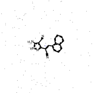 N#C/C(=C\c1cccc2ccccc12)c1n[nH]c(N)c1C#N